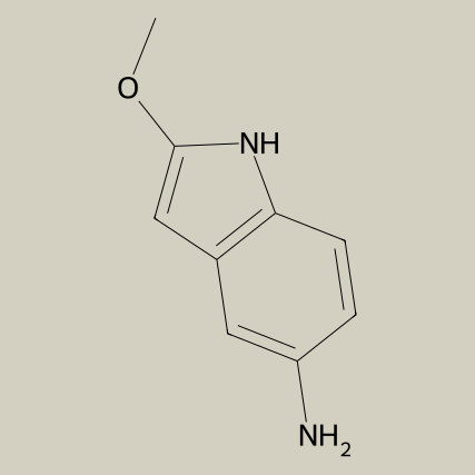 COc1cc2cc(N)ccc2[nH]1